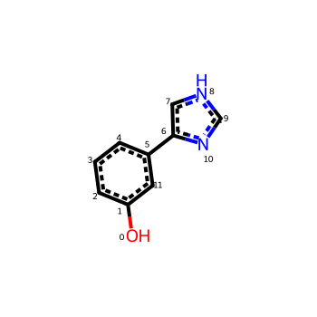 Oc1cccc(-c2c[nH][c]n2)c1